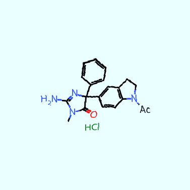 CC(=O)N1CCc2cc(C3(c4ccccc4)N=C(N)N(C)C3=O)ccc21.Cl